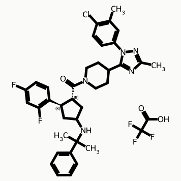 Cc1nc(C2CCN(C(=O)[C@@H]3CC(NC(C)(C)c4ccccc4)C[C@H]3c3ccc(F)cc3F)CC2)n(-c2ccc(Cl)c(C)c2)n1.O=C(O)C(F)(F)F